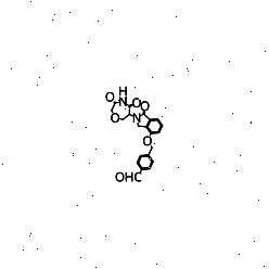 O=Cc1ccc(COc2cccc3c2CN(C2COCC(=O)NC2=O)C3=O)cc1